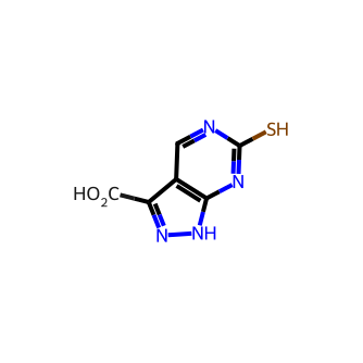 O=C(O)c1n[nH]c2nc(S)ncc12